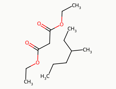 CCCC(C)CC.CCOC(=O)CC(=O)OCC